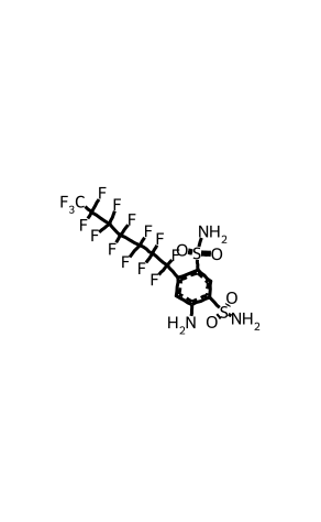 Nc1cc(C(F)(F)C(F)(F)C(F)(F)C(F)(F)C(F)(F)C(F)(F)C(F)(F)F)c(S(N)(=O)=O)cc1S(N)(=O)=O